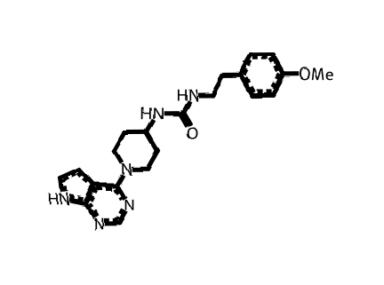 COc1ccc(CCNC(=O)NC2CCN(c3ncnc4[nH]ccc34)CC2)cc1